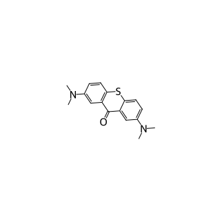 CN(C)c1ccc2sc3ccc(N(C)C)cc3c(=O)c2c1